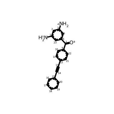 Nc1cc(N)cc(C(=O)c2ccc(C#Cc3ccccc3)cc2)c1